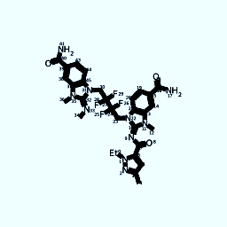 CCn1nc(C)cc1C(=O)/N=c1\n(C)c2cc(C(N)=O)ccc2n1CC(F)(F)C(F)(F)Cn1/c(=N/C)n(C)c2cc(C(N)=O)ccc21